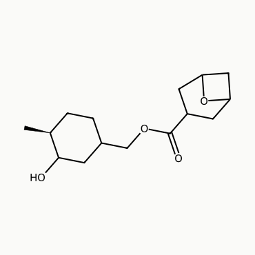 C[C@H]1CCC(COC(=O)C2CC3CC(C2)O3)CC1O